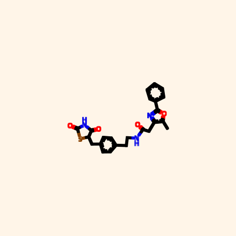 Cc1oc(-c2ccccc2)nc1CC(=O)NCCc1ccc(CC2SC(=O)NC2=O)cc1